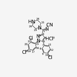 Cl.N#CN=C(c1cc(-c2ccc(Cl)cc2)n(-c2ccc(Cl)cc2Cl)n1)N1CCNCC1